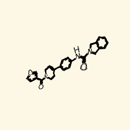 O=C(Nc1ccc(C2=CCN(C(=O)c3ccoc3)CC2)cc1)N1Cc2ccccc2C1